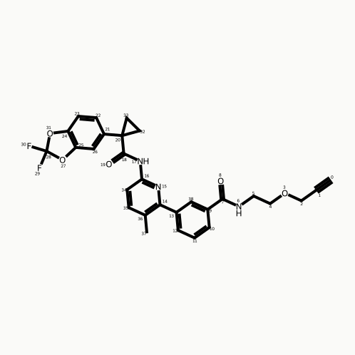 C#CCOCCNC(=O)c1cccc(-c2nc(NC(=O)C3(c4ccc5c(c4)OC(F)(F)O5)CC3)ccc2C)c1